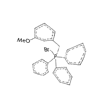 COc1cccc(CP(Br)(c2ccccc2)(c2ccccc2)c2ccccc2)c1